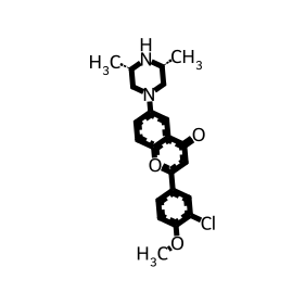 COc1ccc(-c2cc(=O)c3cc(N4C[C@@H](C)N[C@@H](C)C4)ccc3o2)cc1Cl